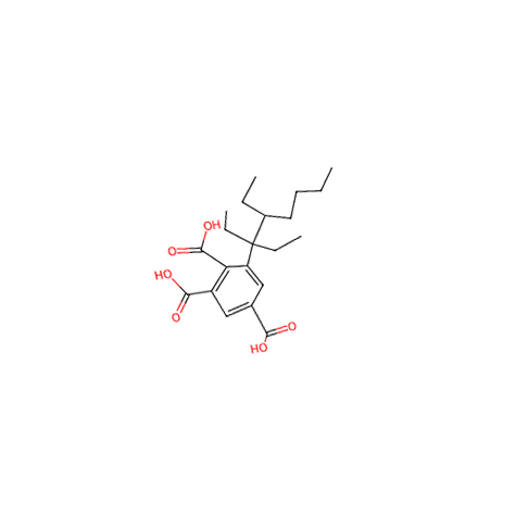 CCCCC(CC)C(CC)(CC)c1cc(C(=O)O)cc(C(=O)O)c1C(=O)O